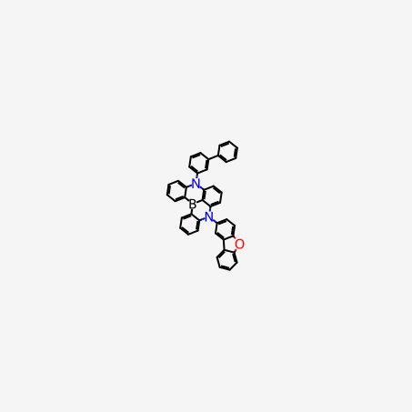 c1ccc(-c2cccc(N3c4ccccc4B4c5ccccc5N(c5ccc6oc7ccccc7c6c5)c5cccc3c54)c2)cc1